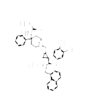 CC(=O)NC1(c2ccccc2)CCN(C[C@@H]2C[C@@]2(C(=O)N(C)Cc2cccc3ccccc23)c2ccc(Cl)c(Cl)c2)CC1